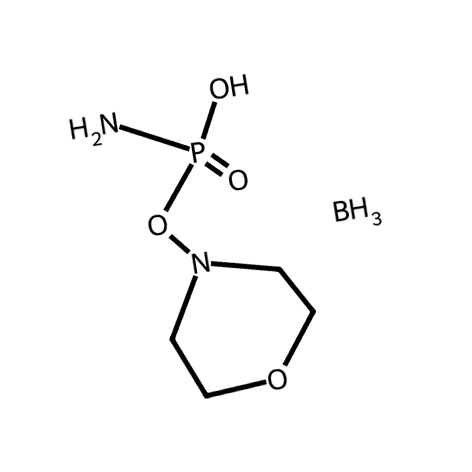 B.NP(=O)(O)ON1CCOCC1